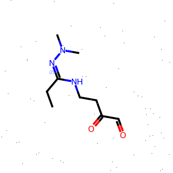 CC/C(=N/N(C)C)NCCC(=O)C=O